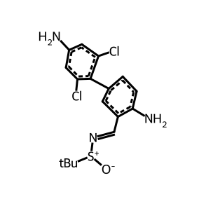 CC(C)(C)[S+]([O-])N=Cc1cc(-c2c(Cl)cc(N)cc2Cl)ccc1N